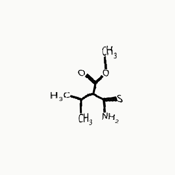 COC(=O)C(C(N)=S)C(C)C